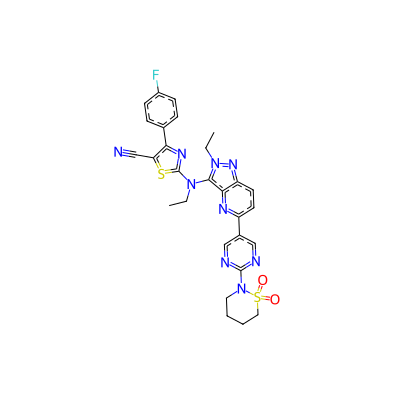 CCN(c1nc(-c2ccc(F)cc2)c(C#N)s1)c1c2nc(-c3cnc(N4CCCCS4(=O)=O)nc3)ccc2nn1CC